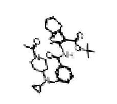 CC(=O)N1CCC(N(Cc2cccc(C(=O)Nc3sc4c(c3C(=O)OC(C)(C)C)CCCC4)c2)C2CC2)CC1